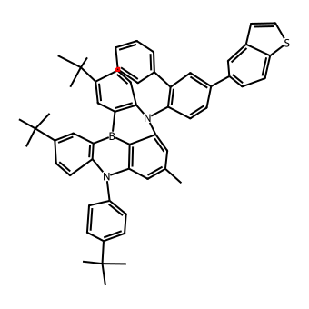 Cc1cc2c3c(c1)N(c1ccc(-c4ccc5sccc5c4)cc1-c1ccccc1)c1ccc(C(C)(C)C)cc1B3c1cc(C(C)(C)C)ccc1N2c1ccc(C(C)(C)C)cc1